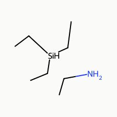 CCN.CC[SiH](CC)CC